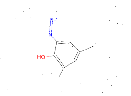 Cc1cc(C)c(O)c(N=N)c1